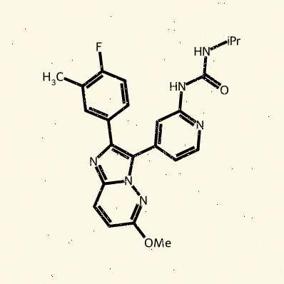 COc1ccc2nc(-c3ccc(F)c(C)c3)c(-c3ccnc(NC(=O)NC(C)C)c3)n2n1